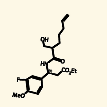 C=CCCCC(CO)C(=O)N[C@@H](CC(=O)OCC)c1ccc(OC)c(F)c1